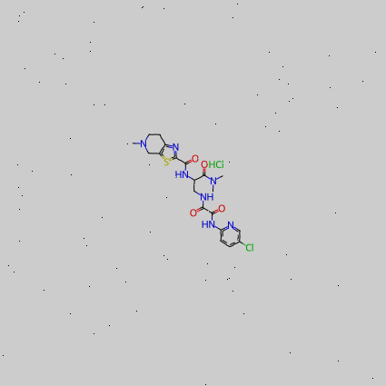 CN1CCc2nc(C(=O)NC(CNC(=O)C(=O)Nc3ccc(Cl)cn3)C(=O)N(C)C)sc2C1.Cl